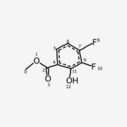 COC(=O)c1ccc(F)c(F)c1O